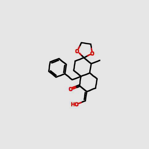 CC1C2CC/C(=C/O)C(=O)C2(Cc2ccccc2)CCC12OCCO2